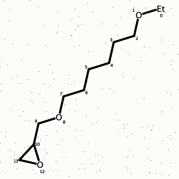 CCOCCCCCCOCC1CO1